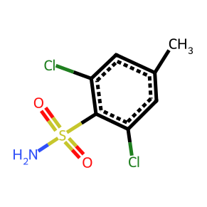 Cc1cc(Cl)c(S(N)(=O)=O)c(Cl)c1